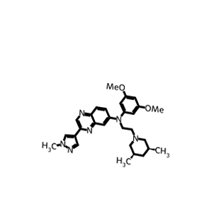 COc1cc(OC)cc(N(CCN2C[C@H](C)C[C@H](C)C2)c2ccc3ncc(-c4cnn(C)c4)nc3c2)c1